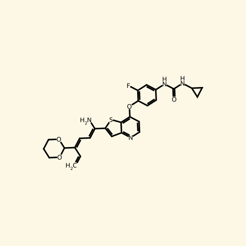 C=C/C(=C\C=C(/N)c1cc2nccc(Oc3ccc(NC(=O)NC4CC4)cc3F)c2s1)C1OCCCO1